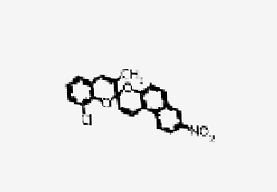 CC1=Cc2cccc(Cl)c2OC12C=Cc1c(ccc3cc([N+](=O)[O-])ccc13)O2